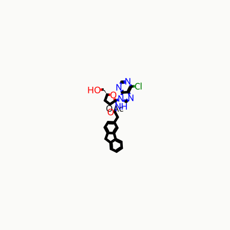 CC(=O)O[C@H]1C[C@H](CO)O[C@]1(NC(=O)Cc1ccc2c(c1)-c1ccccc1C2)n1cnc2c(Cl)ncnc21